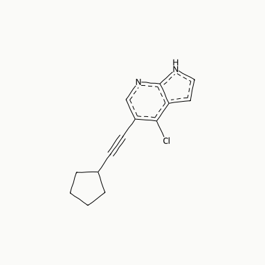 Clc1c(C#CC2CCCC2)cnc2[nH]ccc12